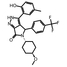 CO[C@H]1CC[C@H](N2C(=O)c3n[nH]c(-c4cc(C)ccc4O)c3C2c2ccc(C(F)(F)F)cc2)CC1